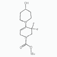 CC(C)(C)OC(=O)N1CC=C(N2CCC(O)CC2)C(F)(F)C1